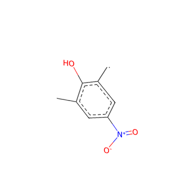 [CH2]c1cc([N+](=O)[O-])cc(C)c1O